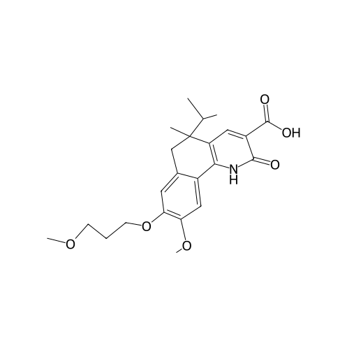 COCCCOc1cc2c(cc1OC)-c1[nH]c(=O)c(C(=O)O)cc1C(C)(C(C)C)C2